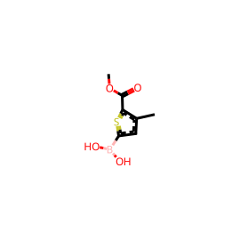 COC(=O)c1sc(B(O)O)cc1C